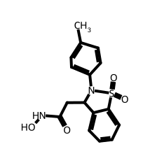 Cc1ccc(N2C(CC(=O)NO)c3ccccc3S2(=O)=O)cc1